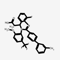 COc1ccc(C(F)(F)F)cc1N1C(c2ccc(-c3cccc(C)c3)cc2)=Nc2c(F)cccc2C1C(C)C(=O)O